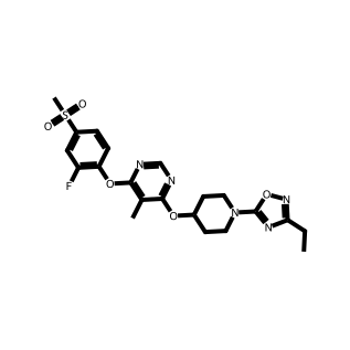 CCc1noc(N2CCC(Oc3ncnc(Oc4ccc(S(C)(=O)=O)cc4F)c3C)CC2)n1